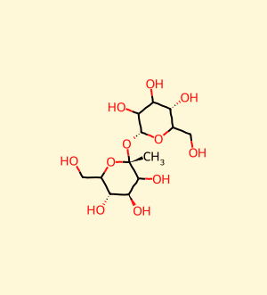 C[C@]1(O[C@H]2OC(CO)[C@@H](O)C(O)C2O)OC(CO)[C@@H](O)[C@H](O)C1O